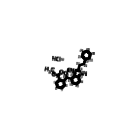 COC(=O)c1ccccc1C(OC)c1cccc2[nH]c(CCc3ccccc3)nc12.Cl